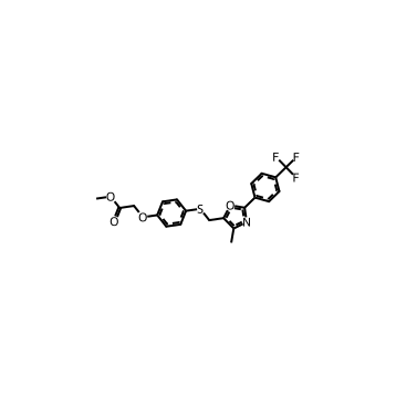 COC(=O)COc1ccc(SCc2oc(-c3ccc(C(F)(F)F)cc3)nc2C)cc1